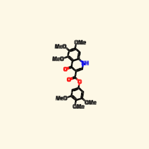 COc1cc(OC(=O)c2c[nH]c3cc(OC)c(OC)c(OC)c3c2=O)cc(OC)c1OC